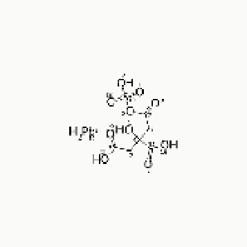 O=C(O)CC(O)(CC(=O)OS(=O)(=O)O)C(=O)O.[PbH2]